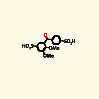 COc1cc(S(=O)(=O)O)cc(C(=O)c2ccc(S(=O)(=O)O)cc2)c1OC